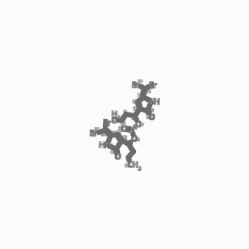 CCCC(O[N+](=O)OC(CCC)C1=CC(=C(Br)Br)NC1=O)C1=CC(=C(Br)Br)NC1=O